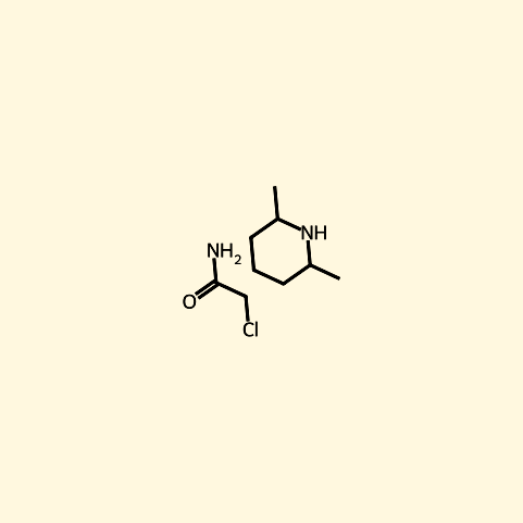 CC1CCCC(C)N1.NC(=O)CCl